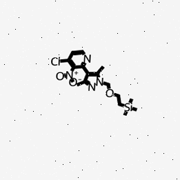 Cc1nn(COCC[Si](C)(C)C)c(C)c1-c1nccc(Cl)c1[N+](=O)[O-]